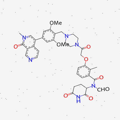 COc1cc(-c2cn(C)c(=O)c3cnccc23)cc(OC)c1CN1CCN(C(=O)COc2cccc(C(=O)N(C=O)C3CCC(=O)NC3=O)c2C)CC1